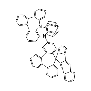 c1ccc(N(c2ccc3c(c2)-c2ccccc2-c2ccccc2C32c3ccccc3-c3cc4ccccc4cc32)c2cccc3c2N(c2ccccc2)c2ccccc2-c2ccccc2-3)cc1